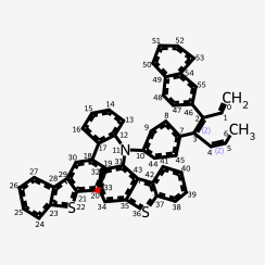 C=C/C(=C(\C=C/C)c1ccc(N(c2ccccc2-c2ccc3sc4ccccc4c3c2)c2cccc3sc4ccccc4c23)cc1)c1ccc2ccccc2c1